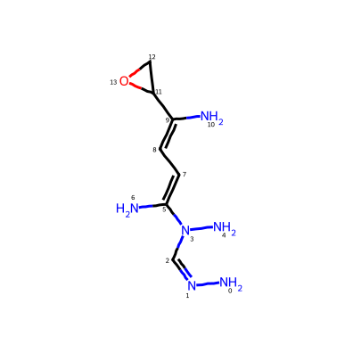 N/N=C\N(N)/C(N)=C/C=C(\N)C1CO1